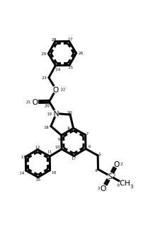 CS(=O)(=O)CCc1cc2c(c(-c3ccccc3)c1)CN(C(=O)OCc1ccccc1)C2